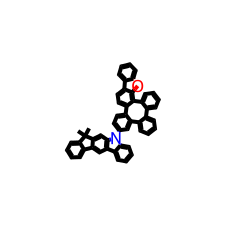 CC1(C)c2ccccc2-c2cc3c4ccccc4n(-c4ccc5c(c4)-c4ccccc4-c4ccccc4-c4c-5ccc5c4oc4ccccc45)c3cc21